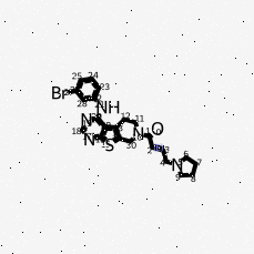 O=C(/C=C/CN1CCCC1)N1CCc2c(sc3ncnc(Nc4cccc(Br)c4)c23)C1